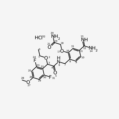 CCOC(C(=O)NCc1ccc(C(=N)N)cc1OCC(N)=O)c1c(F)cc(OC)cc1F.Cl